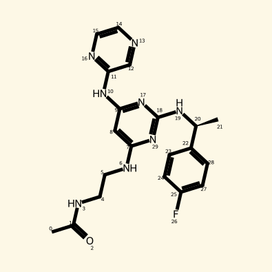 CC(=O)NCCNc1cc(Nc2cnccn2)nc(N[C@@H](C)c2ccc(F)cc2)n1